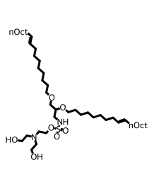 CCCCCCCCC=CCCCCCCCCOCC(CNS(=O)(=O)OCCN(CCO)CCO)OCCCCCCCCC=CCCCCCCCC